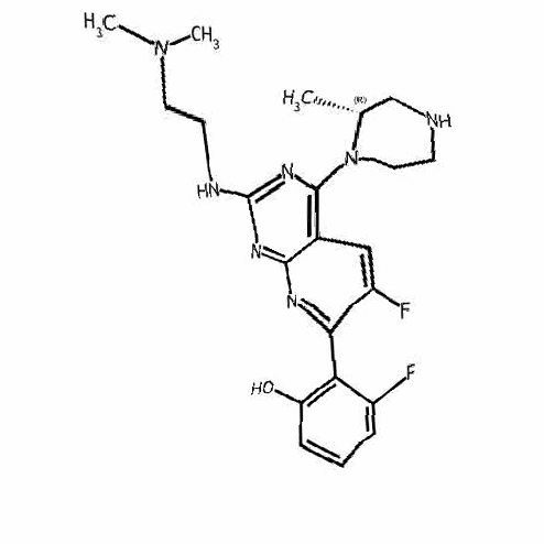 C[C@@H]1CNCCN1c1nc(NCCN(C)C)nc2nc(-c3c(O)cccc3F)c(F)cc12